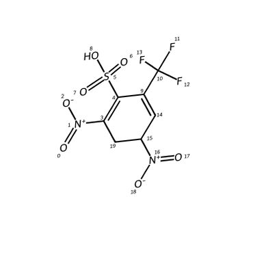 O=[N+]([O-])C1=C(S(=O)(=O)O)C(C(F)(F)F)=CC([N+](=O)[O-])C1